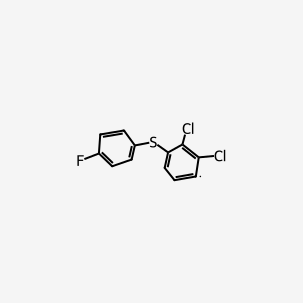 Fc1ccc(Sc2cc[c]c(Cl)c2Cl)cc1